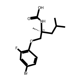 CC(C)C[C@@](C)(COc1ccc(Br)cc1F)NC(=O)O